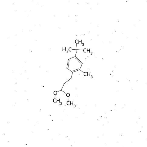 COC(CCc1ccc(C(C)(C)C)cc1C)OC